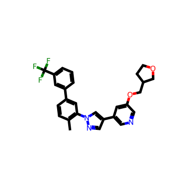 Cc1ccc(-c2cccc(C(F)(F)F)c2)cc1-n1cc(-c2cncc(OCC3CCOC3)c2)cn1